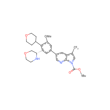 COc1cc(-c2cnc3c(c2)c(C(F)(F)F)cn3C(=O)OC(C)(C)C)cc([C@H]2COCCN2)c1C1CCOCC1